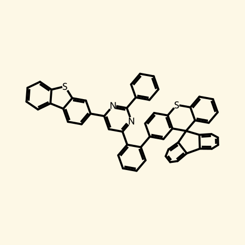 c1ccc(-c2nc(-c3ccc4c(c3)sc3ccccc34)cc(-c3ccccc3-c3ccc4c(c3)C3(c5ccccc5S4)c4ccccc4-c4ccccc43)n2)cc1